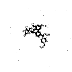 CCN1CCN(C(=NO)c2ccc(C#C[C@]3(CN4Cc5ccc(OC)cc5C4=O)NC(=O)NC3=O)cc2)CC1